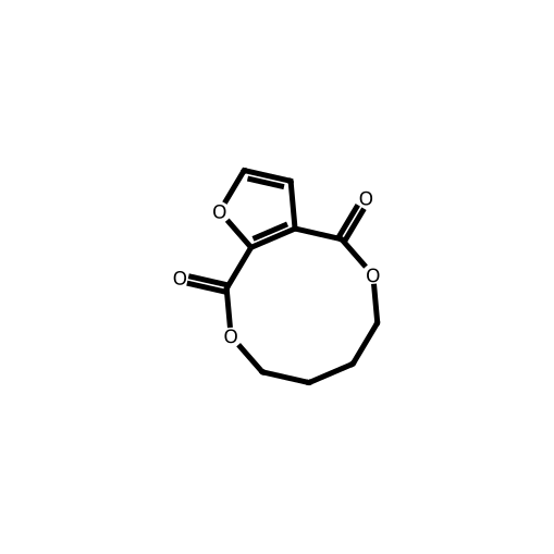 O=C1OCCCCOC(=O)c2occc21